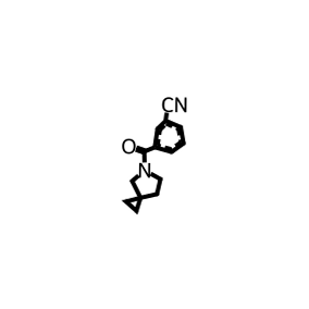 N#Cc1cccc(C(=O)N2CCC3(CC3)C2)c1